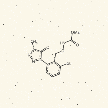 CCc1cccc(-n2nnn(C)c2=O)c1CONC(=O)OC